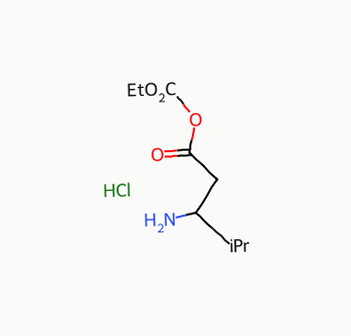 CCOC(=O)OC(=O)CC(N)C(C)C.Cl